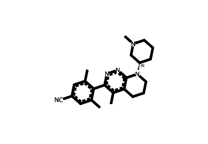 Cc1cc(C#N)cc(C)c1-c1nnc2c(c1C)CCCN2[C@H]1CCCN(C)C1